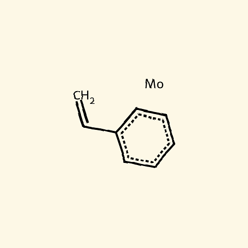 C=Cc1ccccc1.[Mo]